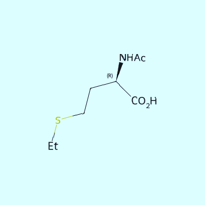 CCSCC[C@@H](NC(C)=O)C(=O)O